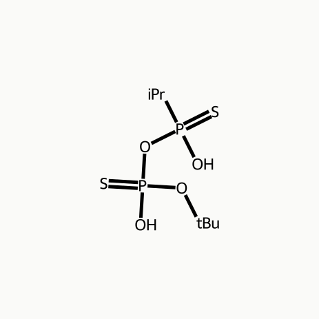 CC(C)P(O)(=S)OP(O)(=S)OC(C)(C)C